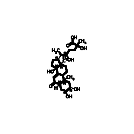 CC([C@H](O)CCC(C)(O)C(=O)O)[C@H]1CC[C@@]2(O)C3=CC(=O)[C@@H]4C[C@@H](O)[C@@H](O)C[C@]4(C)C3CC[C@]12C